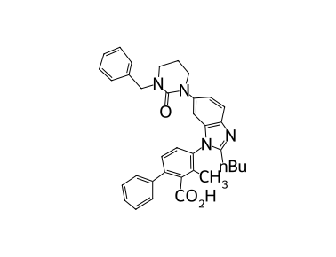 CCCCc1nc2ccc(N3CCCN(Cc4ccccc4)C3=O)cc2n1-c1ccc(-c2ccccc2)c(C(=O)O)c1C